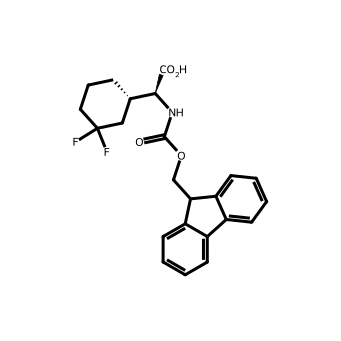 O=C(N[C@H](C(=O)O)[C@H]1CCCC(F)(F)C1)OCC1c2ccccc2-c2ccccc21